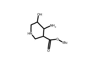 CC(C)(C)OC(=O)C1CNCC(O)C1N